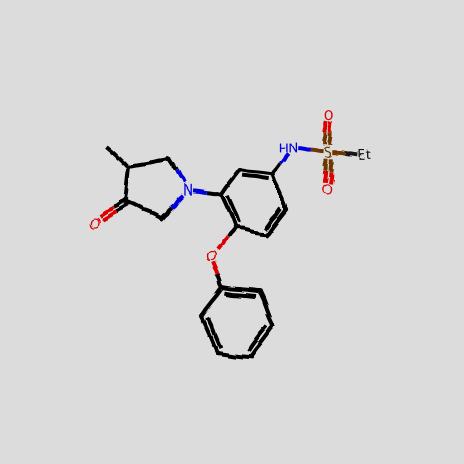 CCS(=O)(=O)Nc1ccc(Oc2ccccc2)c(N2CC(=O)C(C)C2)c1